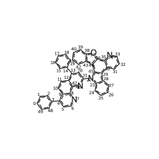 c1ccc(-c2ccnc3c2ccc2c(-c4ccccc4)cc(-n4c5ccccc5c5c6cccnc6c6oc7ccccc7c6c54)nc23)cc1